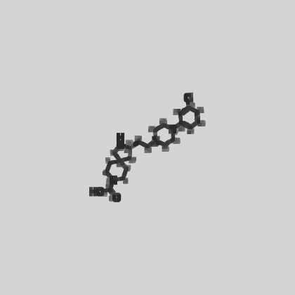 O=C(O)N1CCC2(CC1)CN[C@@H](CCN1CCN(c3cccc(Cl)c3)CC1)C2